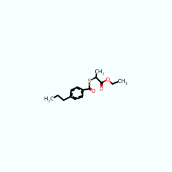 CCCc1ccc(C(=O)SC(C)C(=O)OCC)cc1